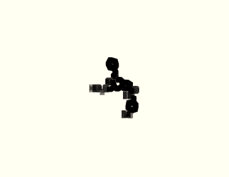 N#Cc1ccc(CNC(=O)c2ccc3c(c2)CC(CC(=O)O)C(=O)N(CCc2ccccc2)C3)cc1